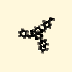 COc1ccc(CN2CCc3nn(Cc4ccccc4)c4nc(N5CCN6CCCC6C5)nc2c34)cc1